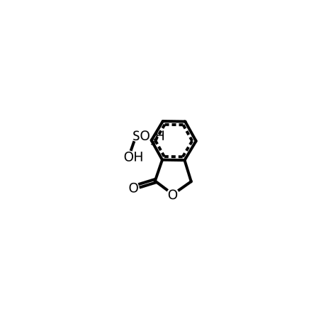 O=C1OCc2ccccc21.O=S(=O)(O)O